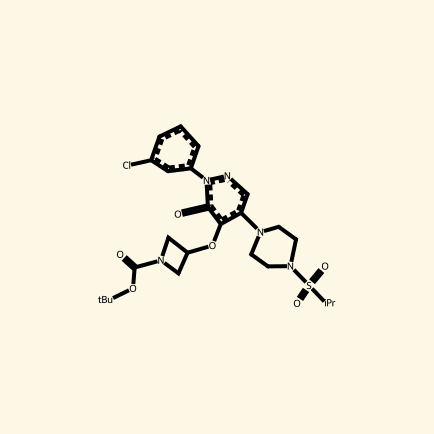 CC(C)S(=O)(=O)N1CCN(c2cnn(-c3cccc(Cl)c3)c(=O)c2OC2CN(C(=O)OC(C)(C)C)C2)CC1